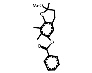 COC1(C)CCc2cc(OC(=O)c3ccccc3)c(C)c(C)c2O1